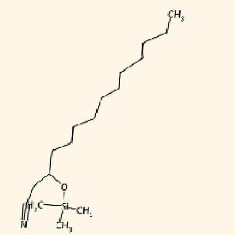 CCCCCCCCCCCC(CC#N)O[Si](C)(C)C